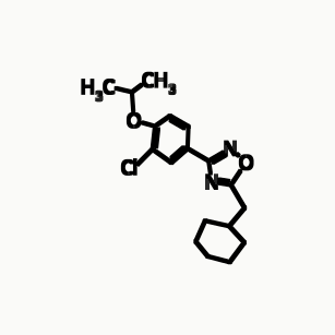 CC(C)Oc1ccc(-c2noc(CC3CCCCC3)n2)cc1Cl